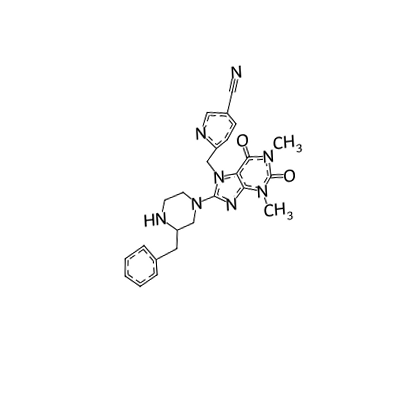 Cn1c(=O)c2c(nc(N3CCNC(Cc4ccccc4)C3)n2Cc2ccc(C#N)cn2)n(C)c1=O